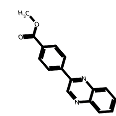 COC(=O)c1ccc(-c2cnc3ccccc3n2)cc1